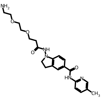 Cc1ccc(NC(=O)c2ccc3c(c2)CCN3NC(=O)CCOCCOCCN)nc1